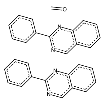 C=O.c1ccc(-c2ncc3ccccc3n2)cc1.c1ccc(-c2ncc3ccccc3n2)cc1